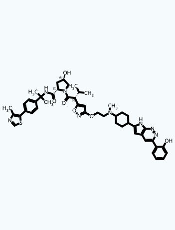 Cc1ncsc1-c1ccc(C(C)(C)NC(=O)[C@@H]2C[C@@H](O)CN2C(=O)[C@@H](c2cc(OCCN(C)C3CCC(c4cc5cc(-c6ccccc6O)nnc5[nH]4)CC3)no2)C(C)C)cc1